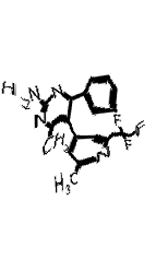 [CH2]c1nc(N)nc(-c2ccccc2)c1-c1cc(C)nc(C(F)(F)F)c1